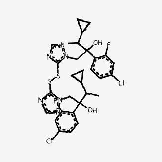 CC(C1CC1)C(O)(Cn1ncnc1SSc1ncnn1CC(O)(c1ccc(Cl)cc1F)C(C)C1CC1)c1ccc(Cl)cc1F